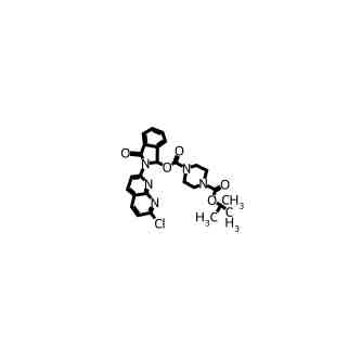 CC(C)(C)OC(=O)N1CCN(C(=O)OC2c3ccccc3C(=O)N2c2ccc3ccc(Cl)nc3n2)CC1